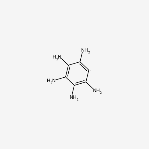 Nc1[c]c(N)c(N)c(N)c1N